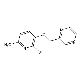 Cc1ccc(OCc2cnccn2)c(Br)n1